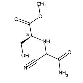 COC(=O)[C@H](CO)NC(C#N)C(N)=O